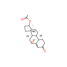 CC(=O)OC1CC[C@H]2[C@@H]3CCC4=CC(=O)CC[C@]4(C=O)[C@@H]3CC[C@]12C